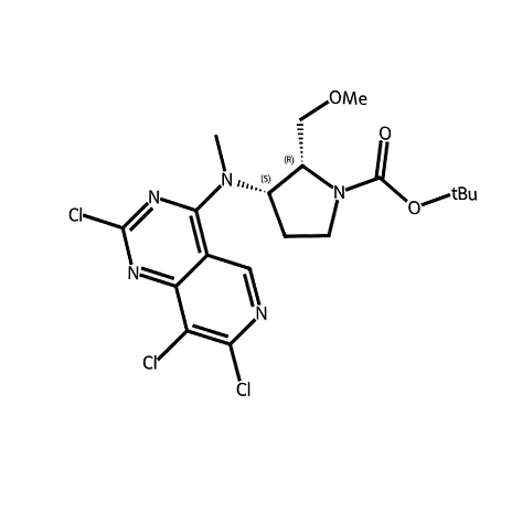 COC[C@H]1[C@@H](N(C)c2nc(Cl)nc3c(Cl)c(Cl)ncc23)CCN1C(=O)OC(C)(C)C